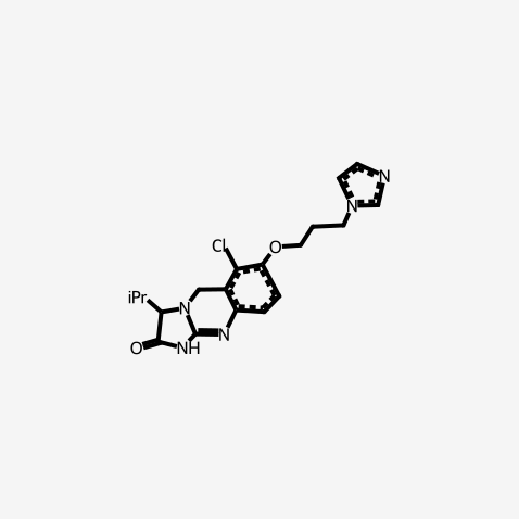 CC(C)C1C(=O)NC2=Nc3ccc(OCCCn4ccnc4)c(Cl)c3CN21